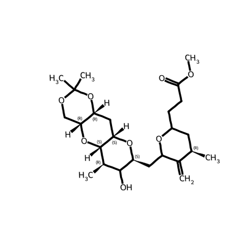 C=C1C(C[C@@H]2O[C@H]3C[C@H]4OC(C)(C)OC[C@H]4O[C@H]3[C@H](C)C2O)OC(CCC(=O)OC)C[C@H]1C